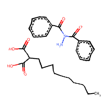 CCCCCCCCCC(C(=O)O)C(=O)O.NN(C(=O)c1ccccc1)C(=O)c1ccccc1